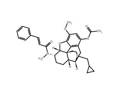 COc1cc(OC(C)=O)c2c3c1O[C@H]1[C@@H](N(C)C(=O)C=Cc4ccccc4)CC[C@H]4[C@@H](C2)N(CC2CC2)CC[C@@]341